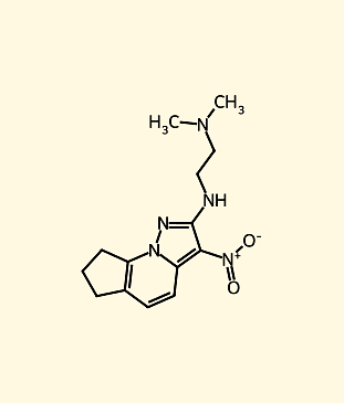 CN(C)CCNc1nn2c3c(ccc2c1[N+](=O)[O-])CCC3